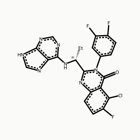 CC[C@@H](Nc1ncnc2[nH]cnc12)c1nc2ccc(F)c(Cl)c2c(=O)n1-c1ccc(F)c(F)c1